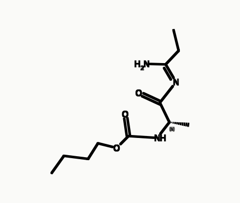 CCCCOC(=O)N[C@@H](C)C(=O)N=C(N)CC